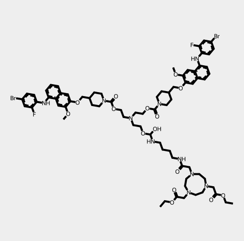 CCOC(=O)CN1CCN(CC(=O)NCCCCNC(O)OCCN(CCOC(=O)N2CCC(COc3cc4cccc(Nc5ccc(Br)cc5F)c4cc3OC)CC2)CCOC(=O)N2CCC(COc3cc4cccc(Nc5ccc(Br)cc5F)c4cc3OC)CC2)CCN(CC(=O)OCC)CC1